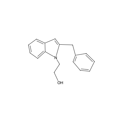 OCCn1c(Cc2ccccc2)cc2ccccc21